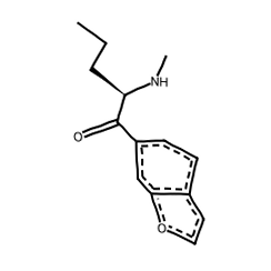 CCC[C@@H](NC)C(=O)c1ccc2ccoc2c1